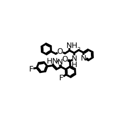 NC(COCc1ccccc1)C(Cc1ccccn1)NC(=O)c1cccc(F)c1-c1cc(-c2ccc(F)cc2)[nH]n1